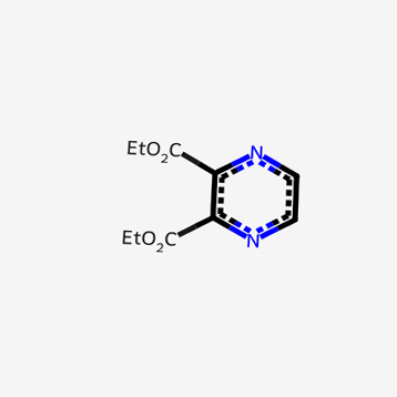 CCOC(=O)c1nccnc1C(=O)OCC